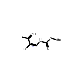 CC(=N)/C(Br)=C\NC(=O)OC(C)(C)C